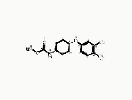 CC(C)(C)OC(=O)N[C@H]1CC[C@H](Oc2ccc(C#N)c(Cl)c2)CC1